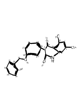 O=c1[nH]c2cc(Cl)cc(Cl)c2c(=O)n1-c1cccc(OCc2ccccc2)c1